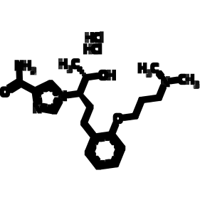 C[C@H](O)[C@@H](CCc1ccccc1OCCCN(C)C)n1cnc(C(N)=O)c1.Cl.Cl